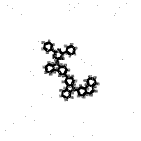 c1ccc(-c2nc(-c3ccccc3)nc(-n3c4ccccc4c4cc(-c5ccc6c(c5)c5ccccc5n6-c5ccc6ccc7ccccc7c6c5)ccc43)n2)cc1